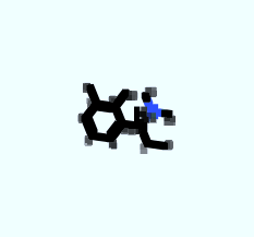 CC[SiH](c1cccc(C)c1C)N(C)C